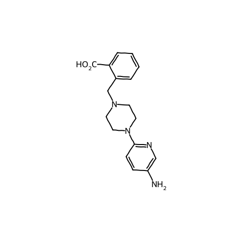 Nc1ccc(N2CCN(Cc3ccccc3C(=O)O)CC2)nc1